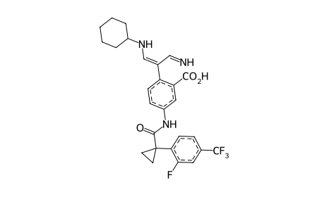 N=C/C(=C\NC1CCCCC1)c1ccc(NC(=O)C2(c3ccc(C(F)(F)F)cc3F)CC2)cc1C(=O)O